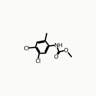 COC(=O)Nc1cc(Cl)c(Cl)cc1C